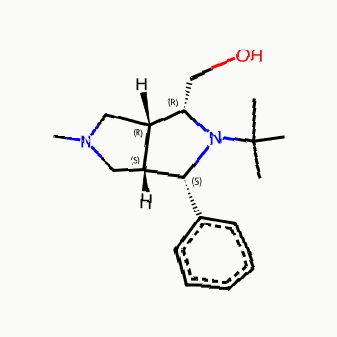 CN1C[C@@H]2[C@H](C1)[C@H](CO)N(C(C)(C)C)[C@@H]2c1ccccc1